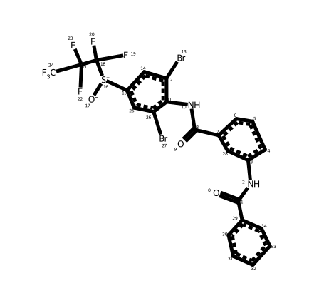 O=C(Nc1cccc(C(=O)Nc2c(Br)cc([S+]([O-])C(F)(F)C(F)(F)C(F)(F)F)cc2Br)c1)c1ccccc1